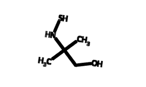 CC(C)(CO)NS